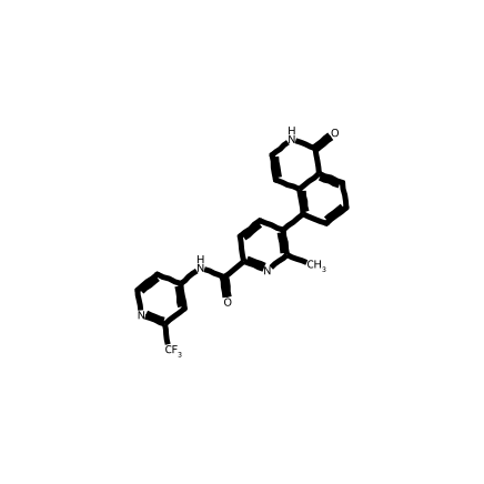 Cc1nc(C(=O)Nc2ccnc(C(F)(F)F)c2)ccc1-c1cccc2c(=O)[nH]ccc12